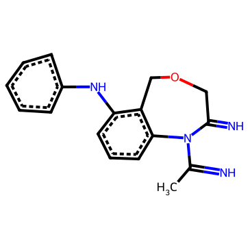 CC(=N)N1C(=N)COCc2c(Nc3ccccc3)cccc21